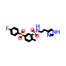 Cc1ccc(S(=O)(=O)c2ccc(F)cc2)cc1S(=O)(=O)NCCc1c[nH]cn1